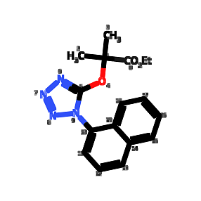 CCOC(=O)C(C)(C)Oc1nnnn1-c1cccc2ccccc12